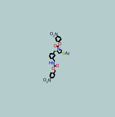 CC(=O)S[C@H]1C[C@@H](Cc2cccc(CNC(=O)OCc3ccc([N+](=O)[O-])cc3)c2)N(C(=O)Oc2ccc([N+](=O)[O-])cc2)C1